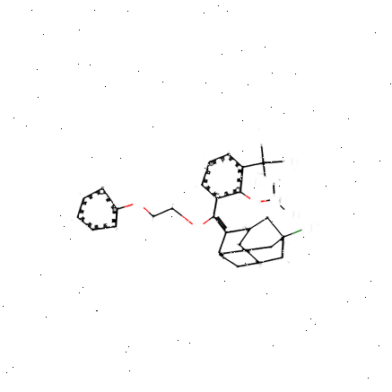 C[SiH](C)Oc1c(C(OCCOc2ccccc2)=C2C3CC4CC2CC(Cl)(C4)C3)cccc1C(C)(C)C